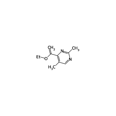 C=C(OCC)c1nc(C)ncc1C